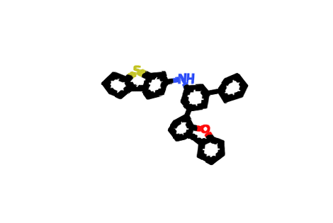 c1ccc(-c2cc(Nc3ccc4c(c3)sc3ccccc34)cc(-c3cccc4c3oc3ccccc34)c2)cc1